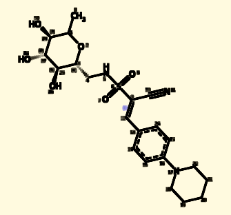 CC1O[C@H](CNS(=O)(=O)/C(C#N)=C/c2ccc(N3CCCCC3)cc2)[C@@H](O)[C@H](O)[C@H]1O